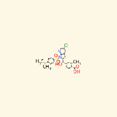 Cc1cc(C(O)c2cc3cc(Cl)cnc3n2S(=O)(=O)c2ccc(C(C)C)cc2)ccc1C(=O)O